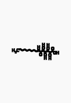 CCCCCCCCCNC(=O)[C@@H](O)[C@H](O)[C@@H](O)C(O)C(=O)O